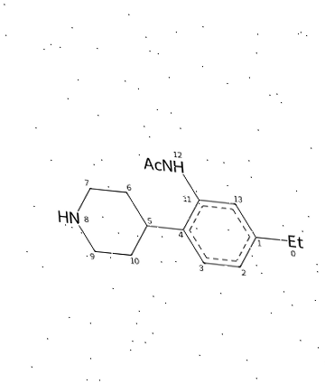 CCc1ccc(C2CCNCC2)c(NC(C)=O)c1